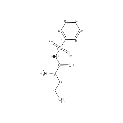 CCC[C@H](N)C(=O)NS(=O)(=O)c1ccccc1